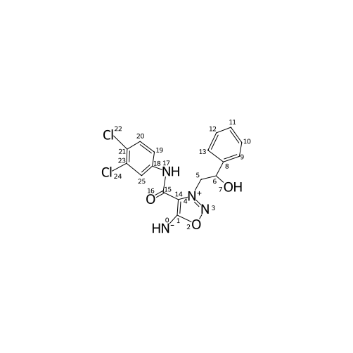 [NH-]c1on[n+](CC(O)c2ccccc2)c1C(=O)Nc1ccc(Cl)c(Cl)c1